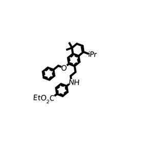 CCOC(=O)c1ccc(NCCc2cc3c(cc2OCc2ccccc2)C(C)(C)CC=C3C(C)C)cc1